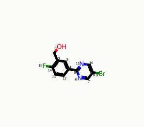 OCc1cc(-c2ncc(Br)cn2)ccc1F